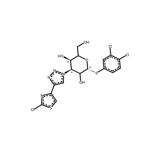 OCC1O[C@H](Sc2ccc(Cl)c(Cl)c2)C(O)[C@@H](n2cc(-c3csc(Cl)n3)nn2)[C@H]1O